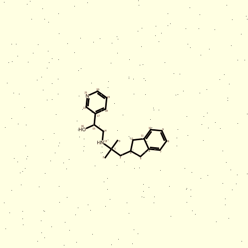 CC(C)(CC1Cc2ccccc2C1)NCC(O)c1cccnc1